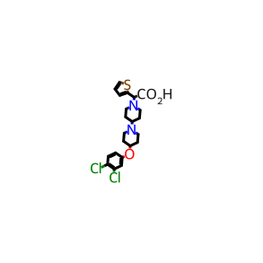 O=C(O)C(c1cccs1)N1CCC(N2CCC(Oc3ccc(Cl)c(Cl)c3)CC2)CC1